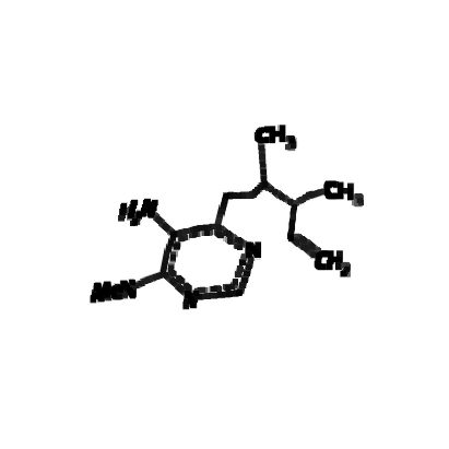 C=CC(C)C(C)Cc1ncnc(NC)c1N